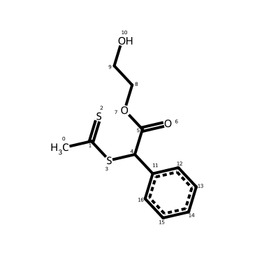 CC(=S)SC(C(=O)OCCO)c1ccccc1